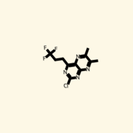 Cc1nc2nc(Cl)nc(CCC(F)(F)F)c2nc1C